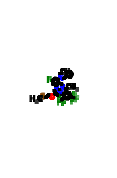 CCN(CC1CCCC1)c1cc(F)ccc1CN(c1ncc(OCCSC)cn1)C(C)c1cc(C(F)(F)F)cc(C(F)(F)F)c1